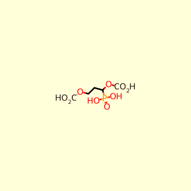 O=C(O)OCCC(OC(=O)O)P(=O)(O)O